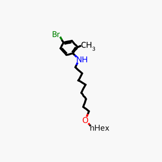 CCCCCCOCCCCCCCCNc1ccc(Br)cc1C